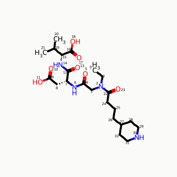 CCN(CC(=O)N[C@H](CC(=O)O)C(=O)N[C@@H](C(=O)O)C(C)C)C(=O)CCCC1CCNCC1